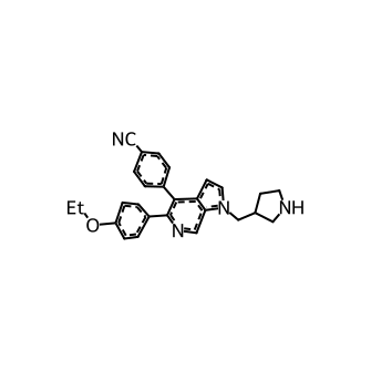 CCOc1ccc(-c2ncc3c(ccn3CC3CCNC3)c2-c2ccc(C#N)cc2)cc1